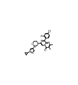 Cc1nc2c(-c3ccc(Cl)cc3F)nc(N3CCO[C@H](c4cnn(C5CC5)c4)C3)cn2c(=O)c1C